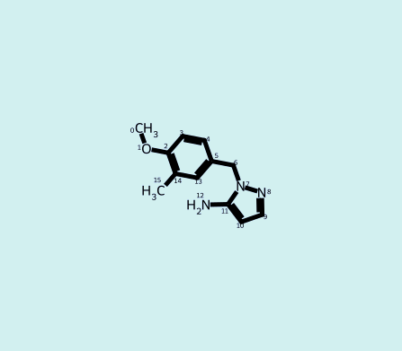 COc1ccc(Cn2nccc2N)cc1C